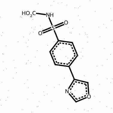 O=C(O)NS(=O)(=O)c1ccc(-c2cocn2)cc1